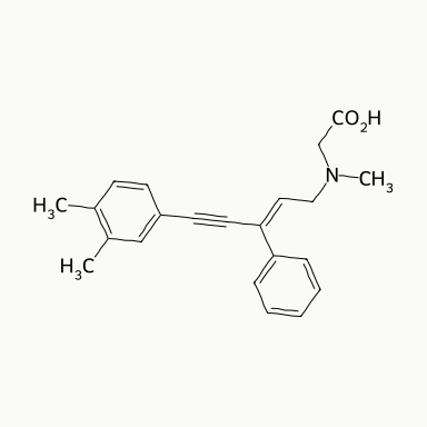 Cc1ccc(C#C/C(=C/CN(C)CC(=O)O)c2ccccc2)cc1C